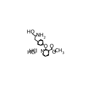 COC(=O)c1cccnc1Oc1ccc(CC(N)CO)cc1.Cl.Cl